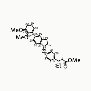 CC[C@H](CC(=O)OC)c1ccc(OC2CCc3cc(-c4cccc(OC)c4OC)ccc32)cc1